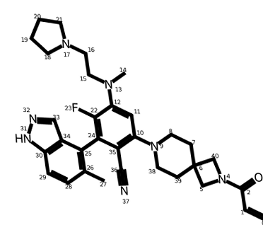 C=CC(=O)N1CC2(CCN(c3cc(N(C)CCN4CCCC4)c(F)c(-c4c(C)ccc5[nH]ncc45)c3C#N)CC2)C1